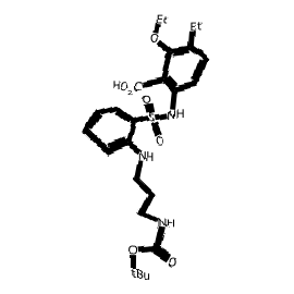 CCOc1c(CC)ccc(NS(=O)(=O)c2ccccc2NCCCNC(=O)OC(C)(C)C)c1C(=O)O